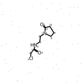 O=C(CCl)NCCN1CCCC1=O